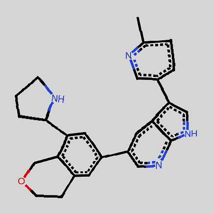 Cc1ccc(-c2c[nH]c3ncc(-c4cc5c(c(C6CCCN6)c4)COCC5)cc23)cn1